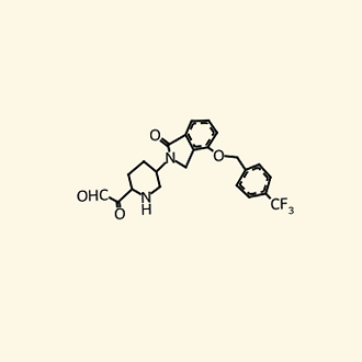 O=CC(=O)C1CCC(N2Cc3c(OCc4ccc(C(F)(F)F)cc4)cccc3C2=O)CN1